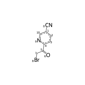 N#Cc1ccc(C(=O)CBr)nc1